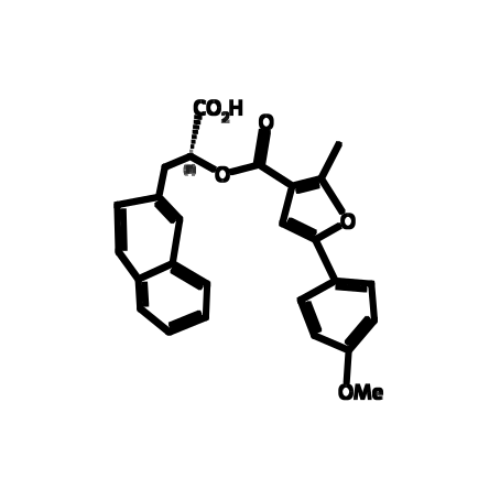 COc1ccc(-c2cc(C(=O)O[C@H](Cc3ccc4ccccc4c3)C(=O)O)c(C)o2)cc1